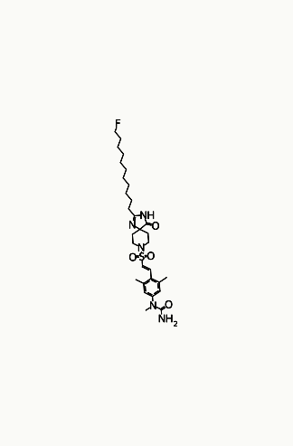 Cc1cc(N(C)C(N)=O)cc(C)c1C=CS(=O)(=O)N1CCC2(CC1)N=C(CCCCCCCCCCCF)NC2=O